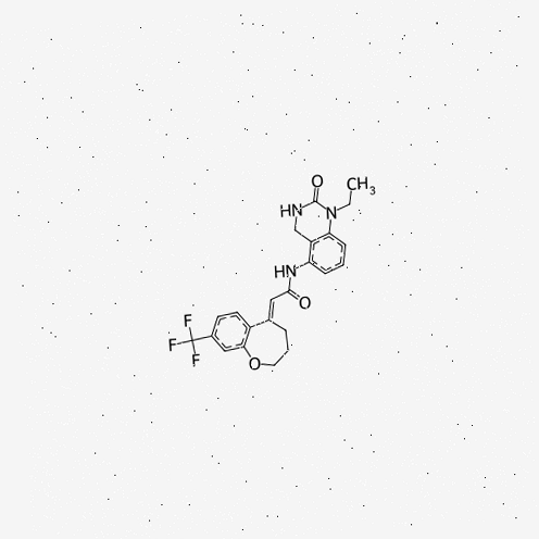 CCN1C(=O)NCc2c(NC(=O)/C=C3\CCCOc4cc(C(F)(F)F)ccc43)cccc21